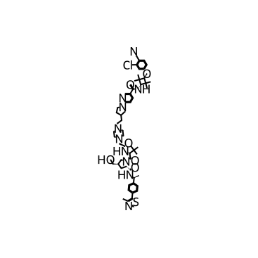 Cc1ncsc1-c1ccc([C@H](C)NC(=O)[C@@H]2C[C@@H](CO)CN2C(=O)[C@@H](NC(=O)CN2CCN(CCC3CCN(c4ccc(C(=O)N[C@H]5C(C)(C)[C@H](Oc6ccc(C#N)c(Cl)c6)C5(C)C)cn4)C3)CC2)C(C)(C)C)cc1